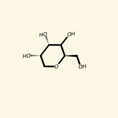 OC[C@H]1OC[C@H](O)[C@H](O)[C]1O